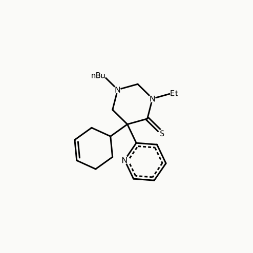 CCCCN1CN(CC)C(=S)C(c2ccccn2)(C2CC=CCC2)C1